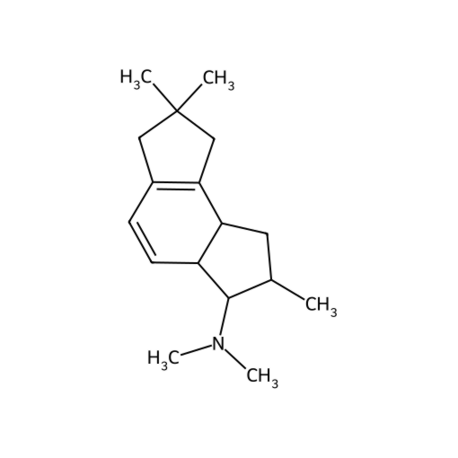 CC1CC2C3=C(C=CC2C1N(C)C)CC(C)(C)C3